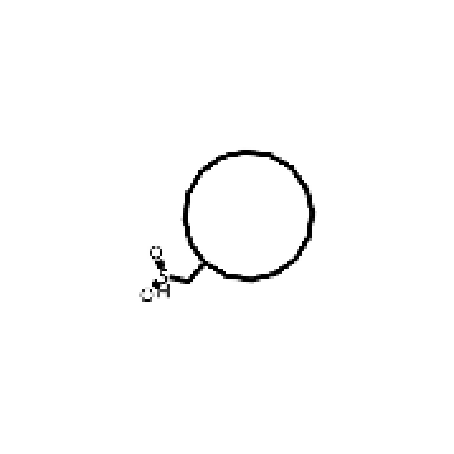 O=[SH](=O)CC1CCCCCCCCCCCCCCC1